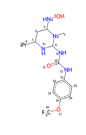 CC(C)C1CC(NO)N(C)C(NC(=O)Nc2ccc(OC(F)(F)F)cc2)N1